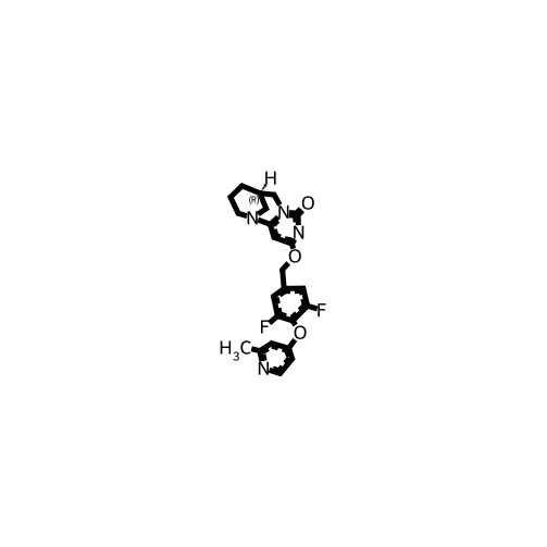 Cc1cc(Oc2c(F)cc(COc3cc4n(c(=O)n3)C[C@@H]3CCCN4C3)cc2F)ccn1